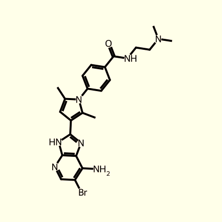 Cc1cc(-c2nc3c(N)c(Br)cnc3[nH]2)c(C)n1-c1ccc(C(=O)NCCN(C)C)cc1